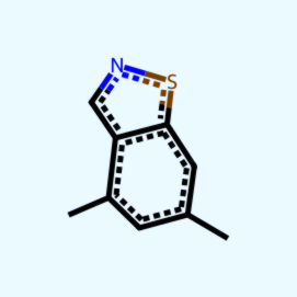 Cc1cc(C)c2cnsc2c1